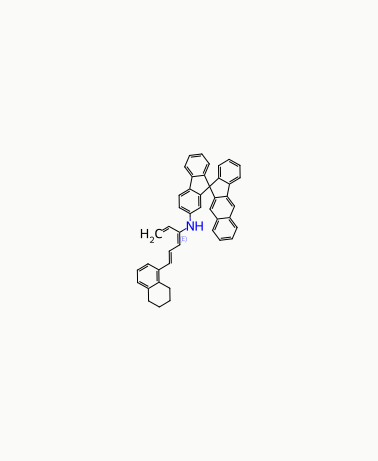 C=C/C(=C\C=Cc1cccc2c1CCCC2)Nc1ccc2c(c1)C1(c3ccccc3-2)c2ccccc2-c2cc3ccccc3cc21